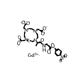 CC(C(=O)NCC(=O)Oc1ccc([N+](=O)[O-])cc1)N1CCN(CC(=O)[O-])CCN(CC(=O)[O-])CCN(CC(=O)[O-])CC1.[Gd+3]